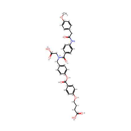 COc1ccc(CC(=O)Nc2ccc(C(=O)N(CC(=O)O)Cc3ccc(OC(=O)c4ccc(OCCCC(=O)O)cc4)cc3)cc2)cc1